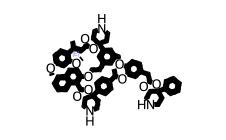 CCOc1ccc(CC(=O)OC2(c3ccccc3)CCNCC2)cc1OC(C)c1ccc(C2(OC(=O)c3c(OCCc4cccc(C5(OC(=O)/C=C(\C)c6ccc(OC)cc6OC)CCNCC5)c4)ccc4ccccc34)CCNCC2)cc1